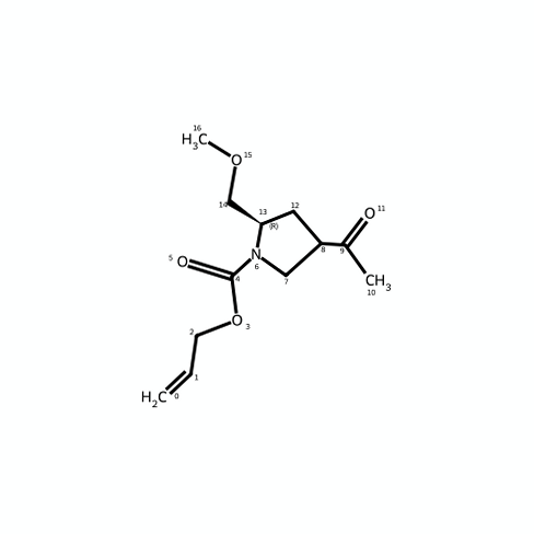 C=CCOC(=O)N1CC(C(C)=O)C[C@@H]1COC